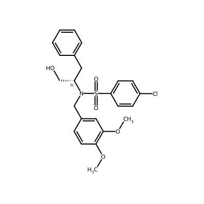 COc1ccc(CN([C@H](CO)Cc2ccccc2)S(=O)(=O)c2ccc(Cl)cc2)cc1OC